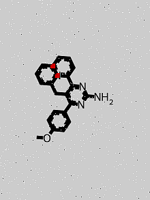 COc1ccc(-c2nc(N)nc(-c3ccccn3)c2Cc2ccccc2)cc1